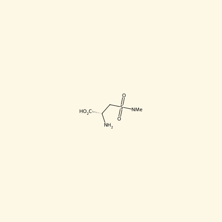 CNS(=O)(=O)C[C@H](N)C(=O)O